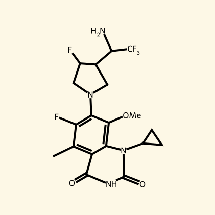 COc1c(N2CC(F)C(C(N)C(F)(F)F)C2)c(F)c(C)c2c(=O)[nH]c(=O)n(C3CC3)c12